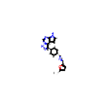 Cc1ccc(CNC[C@H]2CC[C@H](c3nnn4cnc5[nH]ccc5c34)CC2)o1